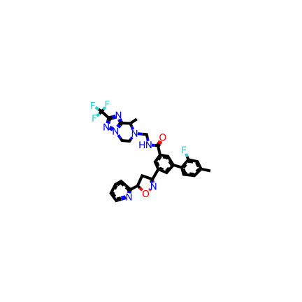 Cc1ccc(-c2cc(C(=O)NCN3CCn4nc(C(F)(F)F)nc4C3C)cc(C3=NOC(c4ccccn4)C3)c2)c(F)c1